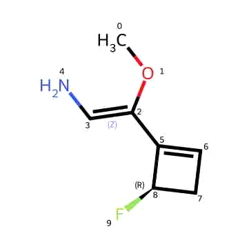 CO/C(=C\N)C1=CC[C@H]1F